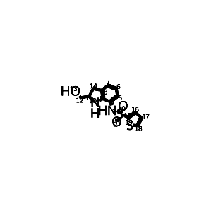 O=S(=O)(Nc1cccc2c1NC(CO)C2)c1cccs1